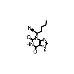 CCCCC(C#N)n1c(=O)[nH]c(=O)c2c1ncn2C